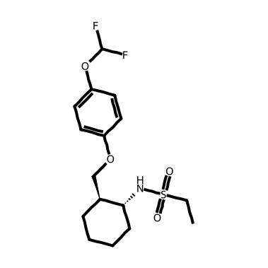 CCS(=O)(=O)N[C@@H]1CCCC[C@H]1COc1ccc(OC(F)F)cc1